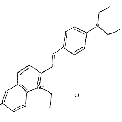 CCN(CC)c1ccc(/C=C/c2ccc3cc(C)ccc3[n+]2CC)cc1.[Cl-]